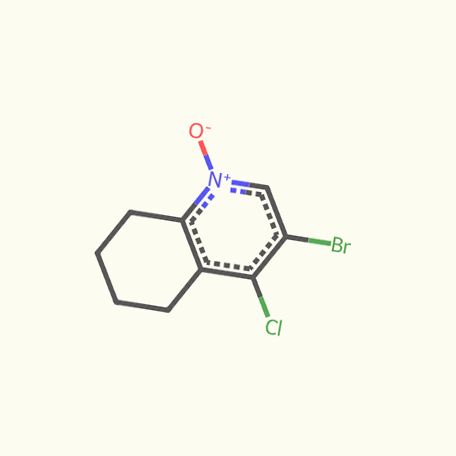 [O-][n+]1cc(Br)c(Cl)c2c1CCCC2